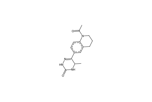 CC(=O)N1CCCc2cc(C3=NNC(=O)NC3C)ccc21